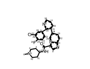 CN1CCC(NC(=O)c2cnc3ccc(-c4cccnc4-c4ccc(F)c(Cl)c4)cn23)CC1